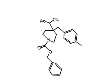 CC(=O)C(C#N)C1(Cc2ccc(C)cc2)CCN(C(=O)OCc2ccccc2)CC1